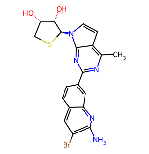 Cc1nc(-c2ccc3cc(Br)c(N)nc3c2)nc2c1ccn2[C@H]1SC[C@H](O)[C@@H]1O